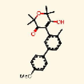 COc1ccc(-c2ccc(C)c(C3=C(O)C(C)(C)OC(C)(C)C3=O)c2)cc1